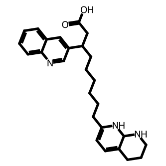 O=C(O)CC(CCCCCCC1=CC=C2CCCNC2N1)c1cnc2ccccc2c1